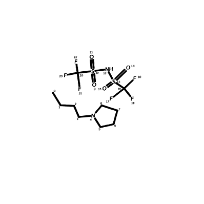 CCCCN1CCCC1.O=S(=O)(NS(=O)(=O)C(F)(F)F)C(F)(F)F